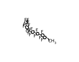 C/C=C/c1cc(F)c2c(F)c(-c3cc(F)c(-c4cc(F)c(C(F)(F)Oc5cc(F)c(C(F)(F)OC(F)(F)F)c(F)c5)c(F)c4)c(F)c3)c(F)cc2c1